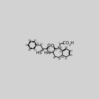 O=C(O)CN1C(=O)C(NC(=O)[C@@H](S)Cc2ccccc2)CCC2CC=CC=C21